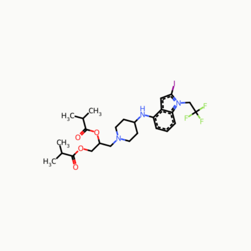 CC(C)C(=O)OCC(CN1CCC(Nc2cccc3c2cc(I)n3CC(F)(F)F)CC1)OC(=O)C(C)C